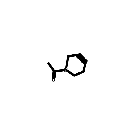 CC(=O)N1CC#CCC1